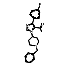 CC(=O)c1c(-c2ccc(F)cc2)ncn1C1CCN(Cc2ccccc2)CC1